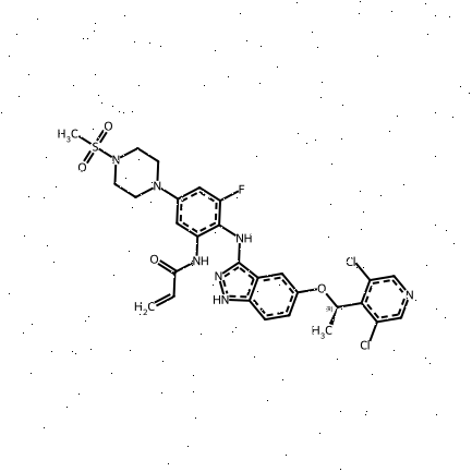 C=CC(=O)Nc1cc(N2CCN(S(C)(=O)=O)CC2)cc(F)c1Nc1n[nH]c2ccc(O[C@H](C)c3c(Cl)cncc3Cl)cc12